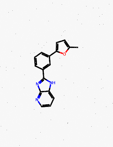 Cc1ccc(-c2cccc(-c3nc4ncccc4[nH]3)c2)o1